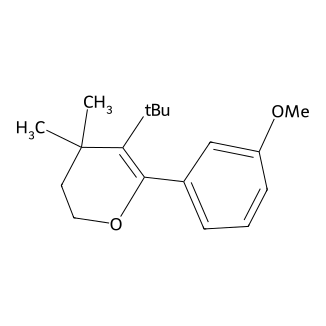 COc1cccc(C2=C(C(C)(C)C)C(C)(C)CCO2)c1